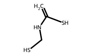 C=C(S)NCS